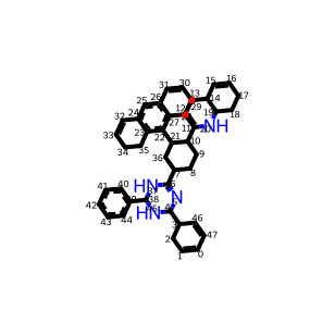 C1=CCC(C2N=C(C3CCC(C4=CCC5C=CCCC5N4)C(c4c5c(cc6c4CCC=C6)C=CCC5)C3)NC(c3ccccc3)N2)C=C1